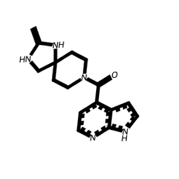 C=C1NCC2(CCN(C(=O)c3ccnc4[nH]ccc34)CC2)N1